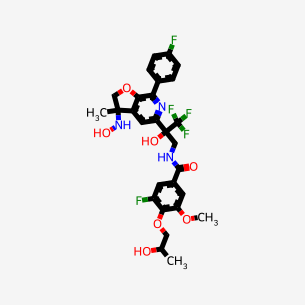 COc1cc(C(=O)NCC(O)(c2cc3c(c(-c4ccc(F)cc4)n2)OCC3(C)NO)C(F)(F)F)cc(F)c1OCC(C)O